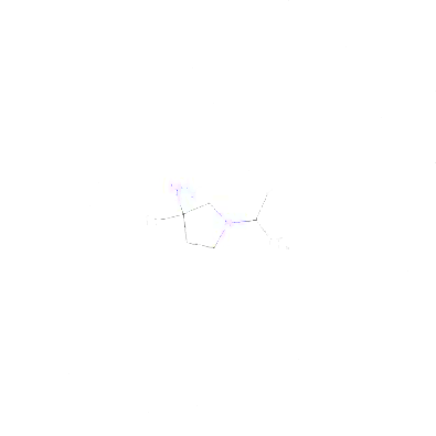 CCC1(N)CCN(C(C)C(F)(F)F)C1